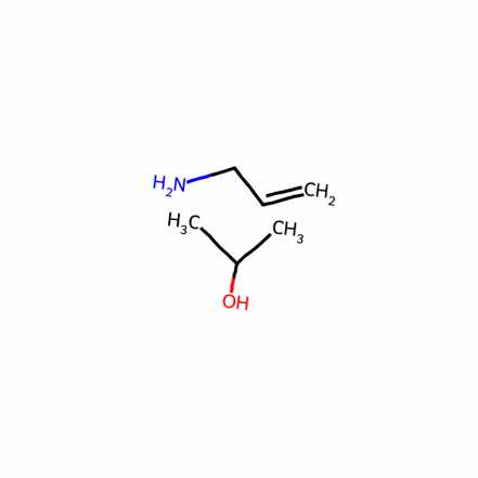 C=CCN.CC(C)O